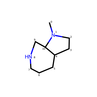 CN1CCC2CCCNCC21